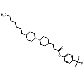 CCCCCCC[C@H]1CC[C@H](C2CCC(CCC(=O)Oc3ccc(C(F)(F)F)cc3)CC2)CC1